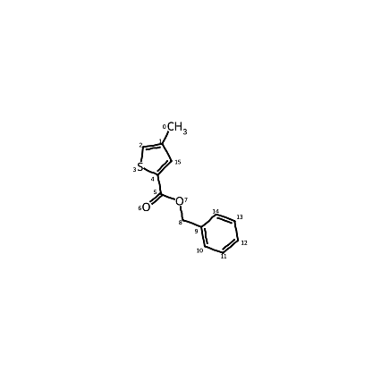 Cc1csc(C(=O)OCc2ccccc2)c1